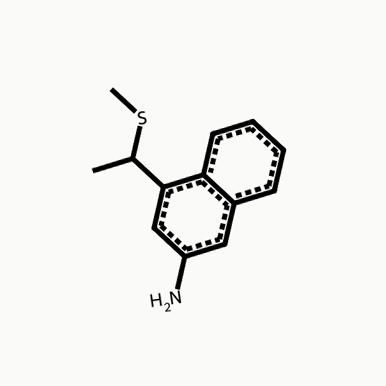 CSC(C)c1cc(N)cc2ccccc12